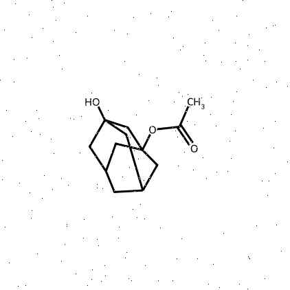 CC(=O)OC12CC3CC(CC(O)(C3)C1)C2